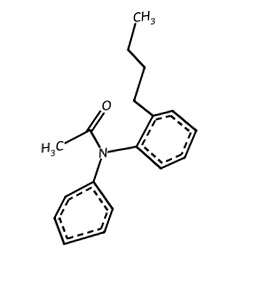 CCCCc1ccccc1N(C(C)=O)c1ccccc1